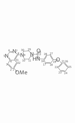 COc1ccc2ncnc(N3CCN(C(=O)Nc4ccc(Oc5ccccc5)cc4)CC3)c2c1